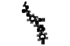 Br.CCOC(=O)COc1ccc(OCc2nnc(C3CCNCC3)s2)cc1